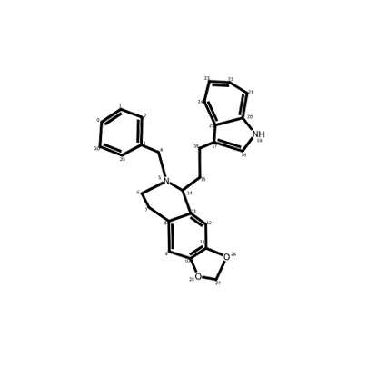 c1ccc(CN2CCc3cc4c(cc3C2CCc2c[nH]c3ccccc23)OCO4)cc1